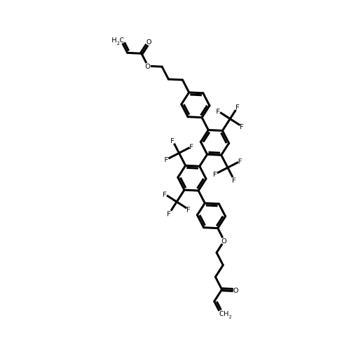 C=CC(=O)CCCOc1ccc(-c2cc(-c3cc(-c4ccc(CCCOC(=O)C=C)cc4)c(C(F)(F)F)cc3C(F)(F)F)c(C(F)(F)F)cc2C(F)(F)F)cc1